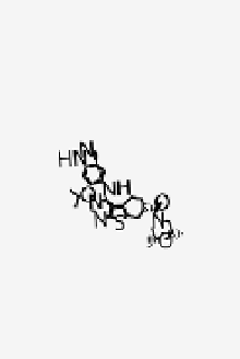 CC(C)Oc1cc2[nH]ncc2cc1Nc1ncnc2sc3c(c12)CC[C@H](C(=O)N1C[C@@H](C)O[C@@H](C)C1)C3